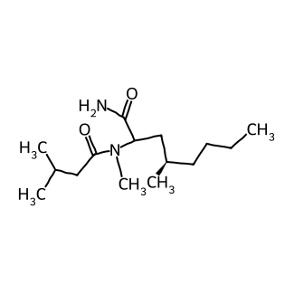 CCCC[C@@H](C)CC(C(N)=O)N(C)C(=O)CC(C)C